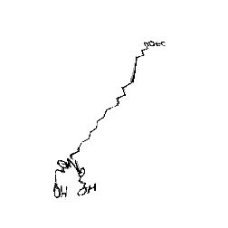 CCCCCCCCCCCCCCCCCCCCCCCCCCCCN(OCCO)OCCO